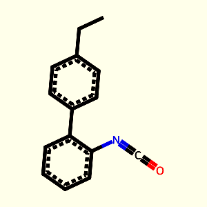 CCc1ccc(-c2ccccc2N=C=O)cc1